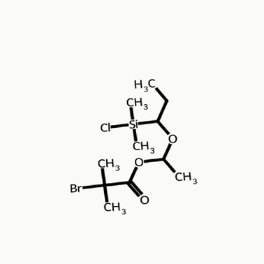 CCC(OC(C)OC(=O)C(C)(C)Br)[Si](C)(C)Cl